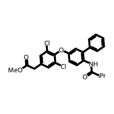 COC(=O)Cc1cc(Cl)c(Oc2ccc(NC(=O)C(C)C)c(-c3ccccc3)c2)c(Cl)c1